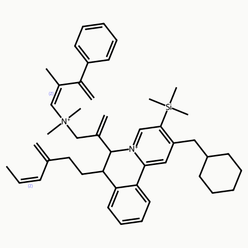 C=C(/C=C\C)CCC1c2ccccc2-c2cc(CC3CCCCC3)c([Si](C)(C)C)c[n+]2C1C(=C)C[N+](C)(C)/C=C(/C)C(=C)c1ccccc1